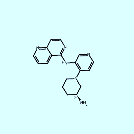 N[C@H]1CCCN(c2ccncc2Nc2nccc3ncccc23)C1